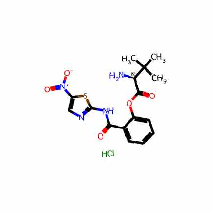 CC(C)(C)[C@H](N)C(=O)Oc1ccccc1C(=O)Nc1ncc([N+](=O)[O-])s1.Cl